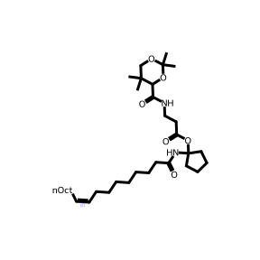 CCCCCCCC/C=C\CCCCCCCC(=O)NC1(OC(=O)CCNC(=O)C2OC(C)(C)OCC2(C)C)CCCC1